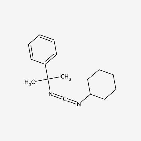 CC(C)(N=C=NC1CCCCC1)c1ccccc1